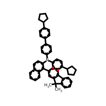 CC1(C)c2ccccc2-c2ccc(-c3c(N(c4ccc(-c5ccc(C6CCCC6)cc5)cc4)c4ccc(C5CCCC5)cc4)ccc4ccccc34)cc21